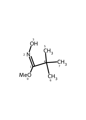 COC(=NO)C(C)(C)C